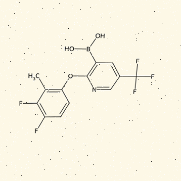 Cc1c(Oc2ncc(C(F)(F)F)cc2B(O)O)ccc(F)c1F